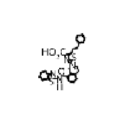 O=C(Nc1nc2ccccc2s1)c1cccc2c1CN(c1nc(C(=O)O)c(CCc3ccccc3)s1)CC2